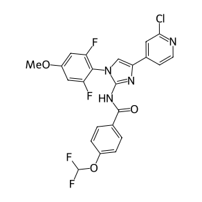 COc1cc(F)c(-n2cc(-c3ccnc(Cl)c3)nc2NC(=O)c2ccc(OC(F)F)cc2)c(F)c1